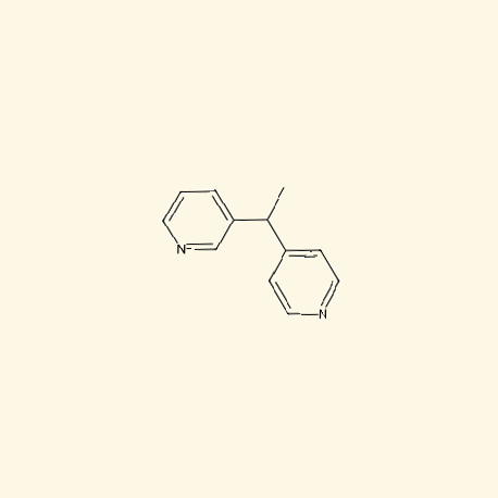 CC(c1ccncc1)c1cccnc1